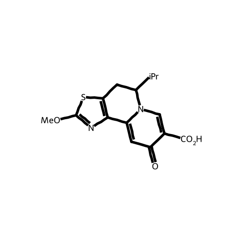 COc1nc2c(s1)CC(C(C)C)n1cc(C(=O)O)c(=O)cc1-2